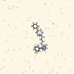 C1=C(c2ccccc2)CCN(CCCCn2ccnc2-c2ccccc2)C1